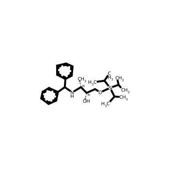 CC(C)[Si](OC[C@H](O)[C@@H](C)NC(c1ccccc1)c1ccccc1)(C(C)C)C(C)C